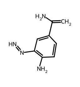 C=C(N)c1ccc(N)c(N=N)c1